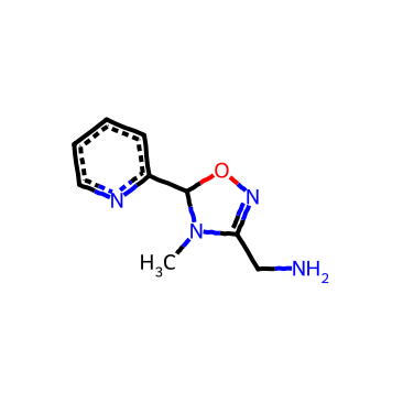 CN1C(CN)=NOC1c1ccccn1